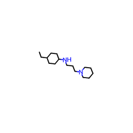 CCC1CCC(NCCCN2CCCCC2)CC1